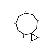 C1CCCNC2(CCC1)CC2